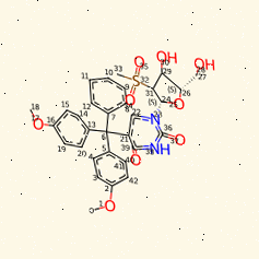 COc1ccc(C(c2ccccc2)(c2ccc(OC)cc2)c2cn([C@H]3O[C@@H](CO)C(O)C3S(C)(=O)=O)c(=O)[nH]c2=O)cc1